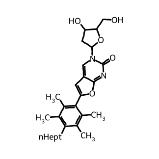 CCCCCCCc1c(C)c(C)c(-c2cc3cn(C4CC(O)C(CO)O4)c(=O)nc3o2)c(C)c1C